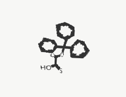 O=C(OC(c1ccccc1)(c1ccccc1)c1ccccc1)C(O)=S